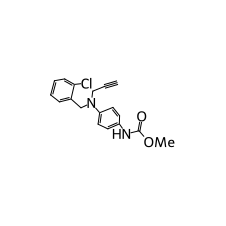 C#CCN(Cc1ccccc1Cl)c1ccc(NC(=O)OC)cc1